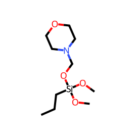 CCC[Si](OC)(OC)OCN1CCOCC1